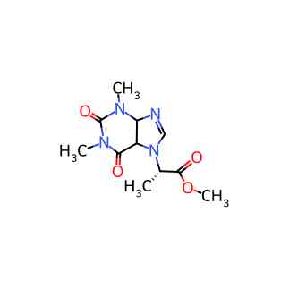 COC(=O)[C@H](C)N1C=NC2C1C(=O)N(C)C(=O)N2C